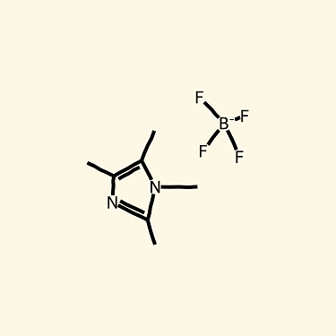 Cc1nc(C)n(C)c1C.F[B-](F)(F)F